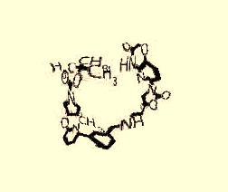 C[C@@H]1CN(C(=O)OC(C)(C)C)C[C@H]1Oc1cccc(-c2cccc(CNCC[C@H]3CN(c4ccc5c(n4)NC(=O)CO5)C(=O)O3)c2)n1